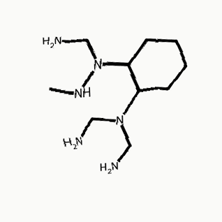 CNN(CN)C1CCCCC1N(CN)CN